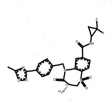 Cc1nc(-c2ccc(CN3C(=O)[C@@H](N)CS(=O)(=O)c4ccc(C(=O)NC5CC5(F)F)cc43)cc2)no1